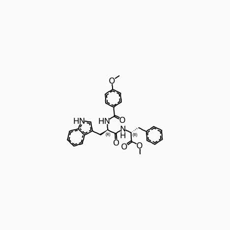 COC(=O)[C@@H](Cc1ccccc1)NC(=O)[C@@H](Cc1c[nH]c2ccccc12)NC(=O)c1ccc(OC)cc1